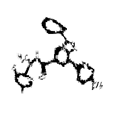 Cc1ccc(-c2cc(C(=O)N[C@H](C)c3ncc(F)cc3F)cn3c(-c4ccccc4)nnc23)nc1